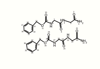 NC(=O)CNC(=O)CNC(=O)OCc1ccccc1.NC(=O)CNC(=O)CNC(=O)OCc1ccccc1